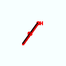 CCCCCCCCC=CCCCCCCCCCC(=O)OCCCCCCCCCCCCCCCCCCCO